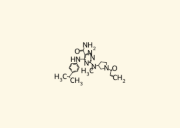 C=CC(=O)N1CCC(N(C)c2nnc(C(N)=O)c(Nc3ccc(C(C)C)cc3)n2)C1